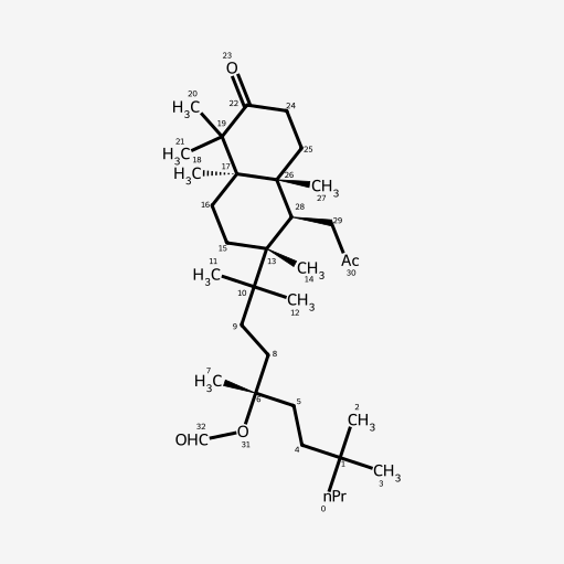 CCCC(C)(C)CC[C@@](C)(CCC(C)(C)[C@]1(C)CC[C@@]2(C)C(C)(C)C(=O)CC[C@]2(C)[C@H]1CC(C)=O)OC=O